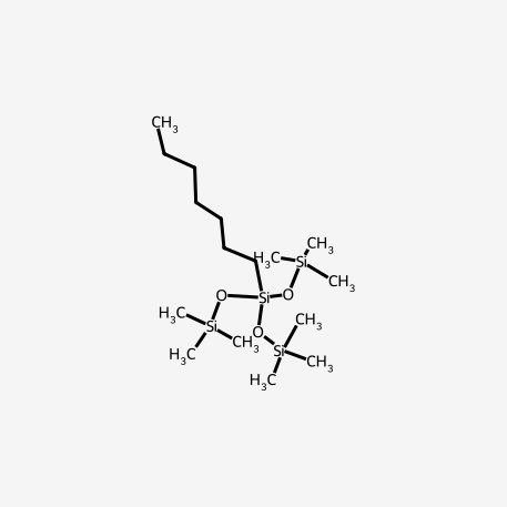 CCCCCCC[Si](O[Si](C)(C)C)(O[Si](C)(C)C)O[Si](C)(C)C